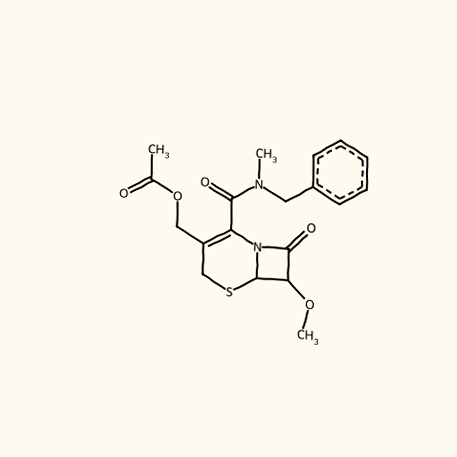 COC1C(=O)N2C(C(=O)N(C)Cc3ccccc3)=C(COC(C)=O)CSC12